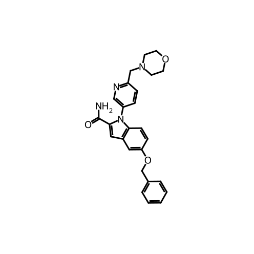 NC(=O)c1cc2cc(OCc3ccccc3)ccc2n1-c1ccc(CN2CCOCC2)nc1